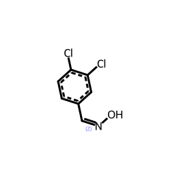 O/N=C\c1ccc(Cl)c(Cl)c1